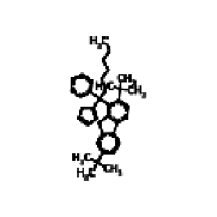 CCCCCCC(C1=CC=CC1)(c1ccccc1)c1c(C(C)(C)C)ccc2c1Cc1cc(C(C)(C)C)ccc1-2